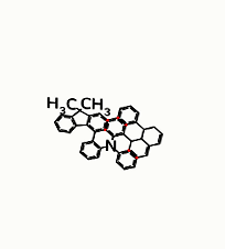 CC1(C)c2ccccc2-c2c(-c3ccccc3N(c3ccccc3)c3ccccc3C3C=CC=C4C=CCC(c5ccccc5)C43)cccc21